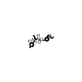 CCc1nc(C2=C(OC)CC(C)C=C2)sc1NC(=O)OCc1ccc2c(cnn2CC)c1